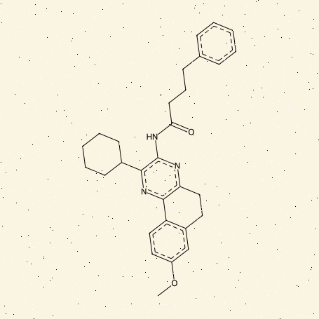 COc1ccc2c(c1)CCc1nc(NC(=O)CCCc3ccccc3)c(C3CCCCC3)nc1-2